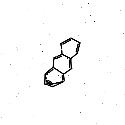 [c]1c2ccccc2cc2c3ccc(cc3)c12